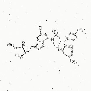 C[C@@H]1CN(c2nc(Cl)nc3c2ncn3CCN(C)C(=O)OC(C)(C)C)[C@@H](C)CN1C(c1ccc(C(F)(F)F)cc1)c1ccc(C(F)(F)F)cn1